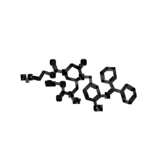 C=CCOC(=O)N1CC(=O)N(Cc2ccc(C#N)c(N=C(c3ccccc3)c3ccccc3)c2)C(CN(C(=O)OC(C)(C)C)C(C)C)C1